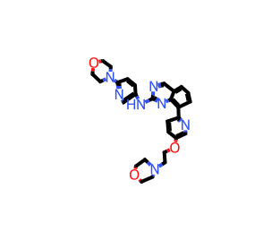 c1cc(-c2ccc(OCCN3CCOCC3)cn2)c2nc(Nc3ccc(N4CCOCC4)nc3)ncc2c1